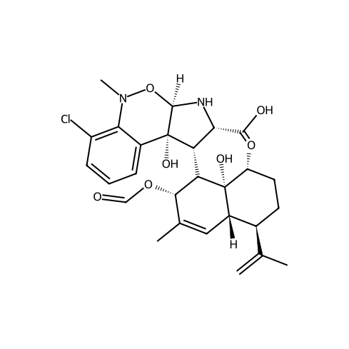 C=C(C)[C@@H]1CC[C@@H](C)[C@]2(O)C([C@H]3[C@@H](C(=O)O)N[C@@H]4ON(C)c5c(Cl)cccc5[C@@]43O)[C@@H](OC=O)C(C)=C[C@@H]12